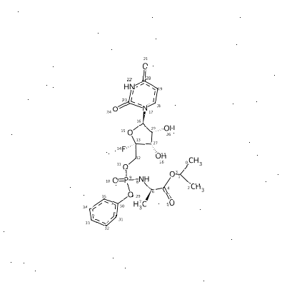 CC(C)OC(=O)[C@@H](C)NP(=O)(OC[C@@]1(F)O[C@@H](n2ccc(=O)[nH]c2=O)[C@H](O)[C@@H]1O)Oc1ccccc1